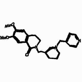 COc1cc2c(cc1OC)C(=O)N(CC1CCCN(Cc3ccncc3)C1)CC2